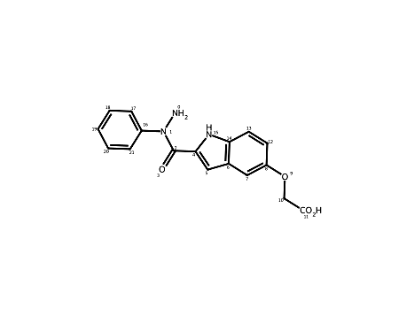 NN(C(=O)c1cc2cc(OCC(=O)O)ccc2[nH]1)c1ccccc1